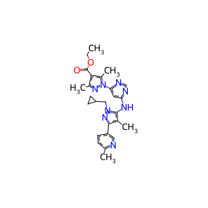 CCOC(=O)c1c(C)nn(-c2cc(Nc3c(C)c(-c4ccc(C)nc4)nn3CC3CC3)ncn2)c1C